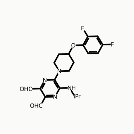 CC(C)Nc1nc(C=O)c(C=O)nc1N1CCC(Oc2ccc(F)cc2F)CC1